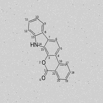 O=c1oc2c(ccc3c4ccccc4[nH]c32)c2ccccc12